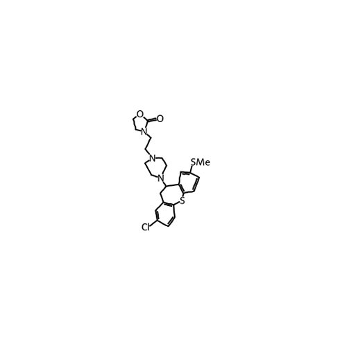 CSc1ccc2c(c1)C(N1CCN(CCN3CCOC3=O)CC1)Cc1cc(Cl)ccc1S2